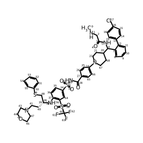 CNCC(=O)NC(c1ccccc1-c1ccc(Cl)cc1)C1CCN(c2ccc(C(=O)NS(=O)(=O)c3ccc(N[C@H](CCN4CCOCC4)CSc4ccccc4)c(S(=O)(=O)C(F)(F)F)c3)cc2)CC1